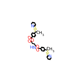 CC(SSc1ccccn1)c1ccc(C(=O)OC(=N)CCC(=O)OC(=O)c2ccc(C(C)SSc3ccccn3)cc2)cc1